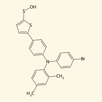 Cc1ccc(N(c2ccc(Br)cc2)c2ccc(-c3ccc(SO)s3)cc2)c(C)c1